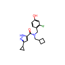 O=C(c1cc(C2CC2)n[nH]1)N(Cc1ccc(O)cc1F)CC1CCC1